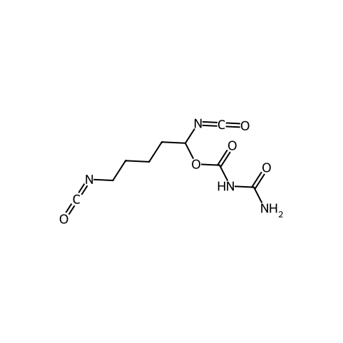 NC(=O)NC(=O)OC(CCCCN=C=O)N=C=O